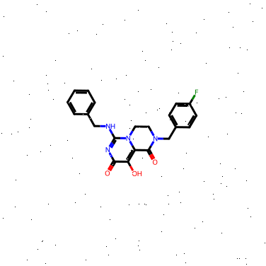 O=C1c2c(O)c(=O)nc(NCc3ccccc3)n2CCN1Cc1ccc(F)cc1